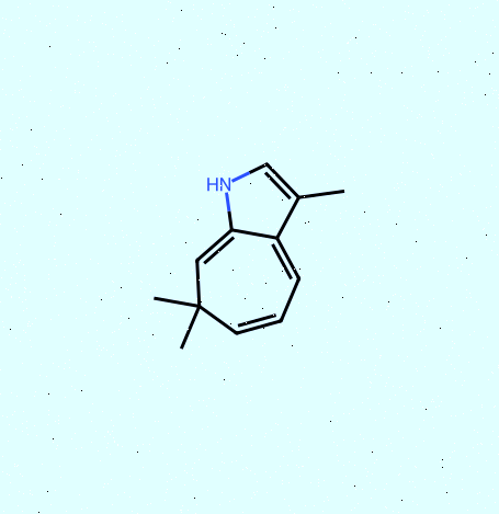 Cc1c[nH]c2c1=CC=CC(C)(C)C=2